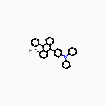 Cc1cccc2c(-c3ccc(N(c4ccccc4)c4ccccc4)cc3)c3ccccc3c(-c3ccccc3)c12